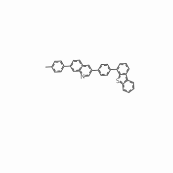 Cc1ccc(-c2ccc3cc(-c4ccc(-c5cccc6c5sc5ccccc56)cc4)cnc3c2)cc1